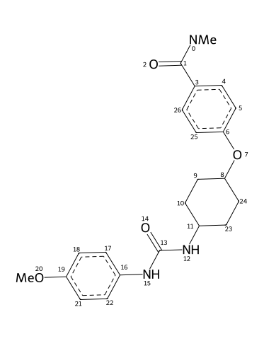 CNC(=O)c1ccc(OC2CCC(NC(=O)Nc3ccc(OC)cc3)CC2)cc1